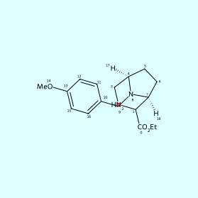 CCOC(=O)C1NC[C@H]2CC[C@@H]1N2Cc1ccc(OC)cc1